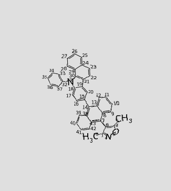 Cc1noc(C)c1-c1c2ccccc2c(-c2ccc3c(c2)c2ccc4ccccc4c2n3-c2ccccc2)c2ccccc12